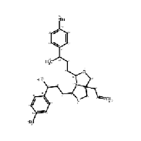 C=CCC12COC(CCC(C)c3ccc(C(C)(C)C)cc3)N1C(CCC(C)c1ccc(C(C)(C)C)cc1)OC2